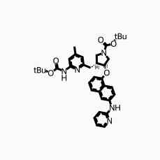 Cc1cc(C[C@@H]2CN(C(=O)OC(C)(C)C)C[C@@H]2Oc2cccc3cc(Nc4ccccn4)ccc23)nc(NC(=O)OC(C)(C)C)c1